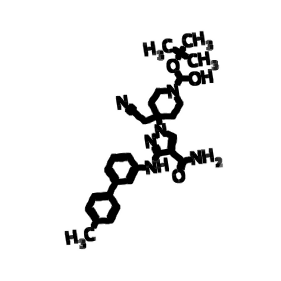 Cc1ccc(-c2cccc(Nc3nn(C4(CC#N)CCN(C(O)OC(C)(C)C)CC4)cc3C(N)=O)c2)cc1